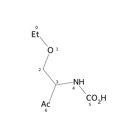 CCOCC(NC(=O)O)C(C)=O